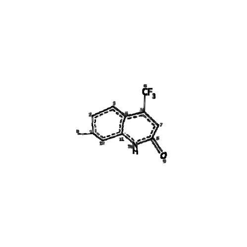 Cc1ccc2c(C(F)(F)F)cc(=O)[nH]c2c1